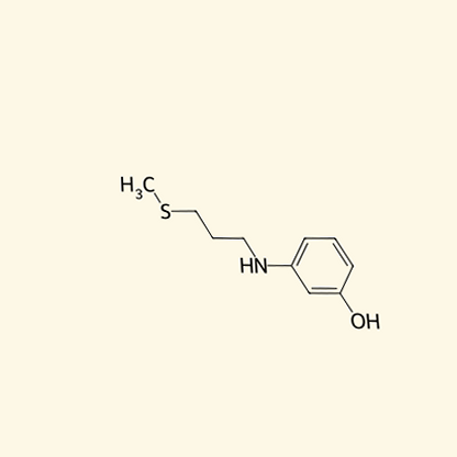 CSCCCNc1cccc(O)c1